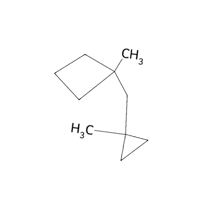 CC1(CC2(C)CC2)CCC1